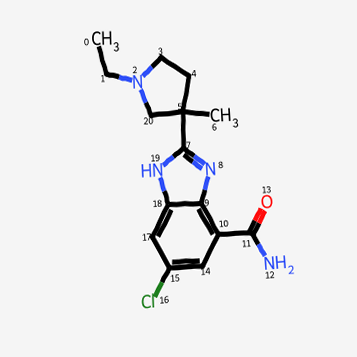 CCN1CCC(C)(c2nc3c(C(N)=O)cc(Cl)cc3[nH]2)C1